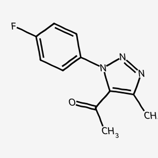 CC(=O)c1c(C)nnn1-c1ccc(F)cc1